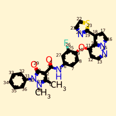 Cc1c(C(=O)Nc2ccc(Oc3ccnn4ccc(-c5nccs5)c34)c(F)c2)c(=O)n(-c2ccccc2)n1C